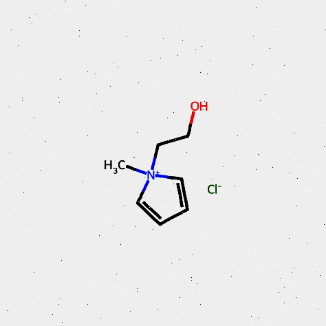 C[N+]1(CCO)C=CC=C1.[Cl-]